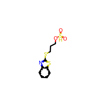 O=[SH](=O)OCCCSc1nc2ccccc2s1